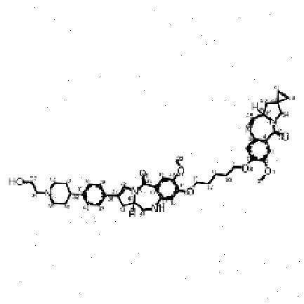 COc1cc2c(cc1OCCCCCOc1cc3c(cc1OC)C(=O)N1C=C(c4ccc(C5CCN(CCO)CC5)cc4)C[C@H]1CN3)N=C[C@@H]1CC3(CC3)CN1C2=O